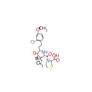 CCOC(=O)C(CCc1ccc(OC)cc1Cl)NC(C)C(=O)N1CCSCC1C(=O)O